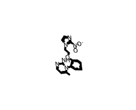 CC1=CC=NC(N)N1c1ccccc1OCCn1ccnc1[N+](=O)[O-]